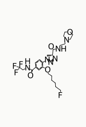 O=C(NCC(F)(F)F)c1ccc(-n2cc(C(=O)NCCN3CCOCC3)nn2)c(OCCCCCCF)c1